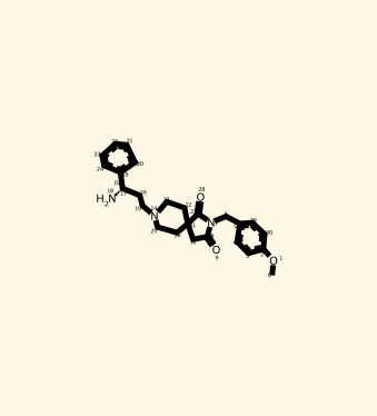 COc1ccc(CN2C(=O)CC3(CCN(CC[C@H](N)c4ccccc4)CC3)C2=O)cc1